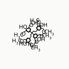 COCc1cc(CCC(CCc2cc(COC)c(O)c(COC)c2)(c2cc(COC)c(O)c(COC)c2)c2cc(COC)c(O)c(COC)c2)cc(COC)c1O